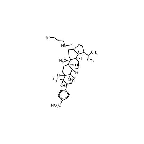 C=C(C)[C@@H]1CC[C@]2(CNCCCBr)CC[C@]3(C)[C@H](CC[C@@H]4[C@@]5(C)CC=C(c6ccc(C(=O)O)cc6)C(C)(C)[C@@H]5CC[C@]43C)[C@@H]12